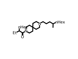 CCCCCCC(C)CCCN1CCC2(CC1)CCN(C(=O)C(CC)CCCCCC)CC2